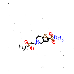 CS(=O)(=O)CCN1CCc2sc(S(N)(=O)=O)cc2C1